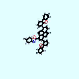 CC1=CC2OC(c3cc(-c4cccc5c4oc4ccccc45)c4ccc5ccc(-c6cccc7c6oc6ccccc67)c6ccc3c4c56)=NC2C=C1